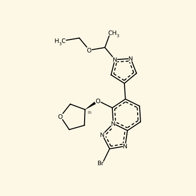 CCOC(C)n1cc(-c2ccc3nc(Br)nn3c2O[C@H]2CCOC2)cn1